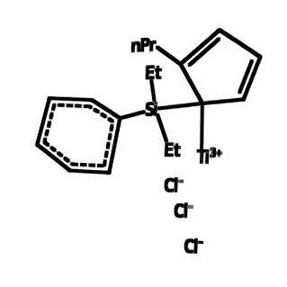 CCCC1=CC=C[C]1([Ti+3])[Si](CC)(CC)c1ccccc1.[Cl-].[Cl-].[Cl-]